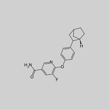 NC(=O)c1cnc(Oc2ccc(C3CC4CC[C@H]3C4)cc2)c(F)c1